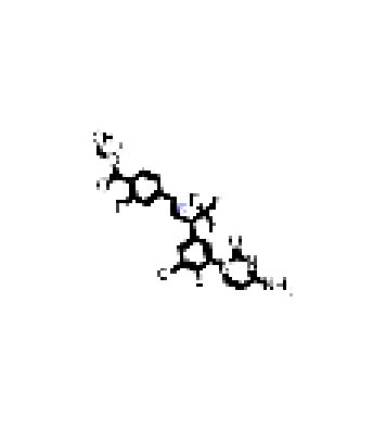 CCOC(=O)c1ccc(/C=C/C(c2cc(Cl)c(F)c(-n3ccc(N)nc3=O)c2)C(F)(F)F)cc1F